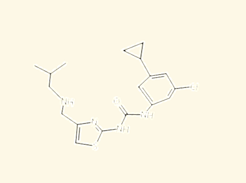 CC(C)CNCc1csc(NC(=O)Nc2cc(Cl)cc(C3CC3)c2)n1